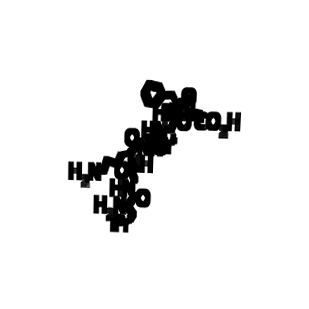 CC(C)C[C@H](NC(=O)CNC(=O)[C@H](CCCCN)NC(=O)CNC(=O)[C@@H](N)CC(C)C)C(=O)N[C@@H](Cc1ccccc1)C(=O)NCC(=O)O